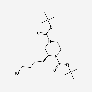 CC(C)(C)OC(=O)N1CCN(C(=O)OC(C)(C)C)[C@@H](CCCCO)C1